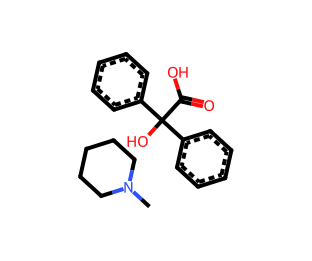 CN1CCCCC1.O=C(O)C(O)(c1ccccc1)c1ccccc1